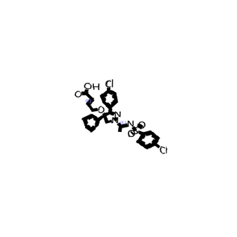 C/C(=N\S(=O)(=O)c1ccc(Cl)cc1)N1CC(OC/C=C/C(=O)O)(c2ccccc2)C(c2ccc(Cl)cc2)=N1